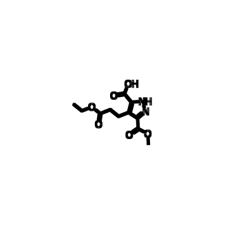 CCOC(=O)CCc1c(C(=O)OC)n[nH]c1C(=O)O